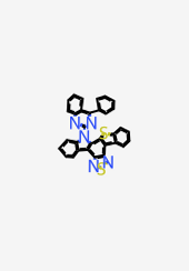 c1ccc(-c2nc(-n3c4ccccc4c4c5nsnc5c5c6ccccc6sc5c43)nc3ccccc23)cc1